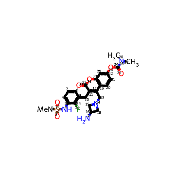 CNS(=O)(=O)Nc1cccc(Cc2c(CN3CC(N)C3)c3ccc(OC(=O)N(C)C)cc3oc2=O)c1F